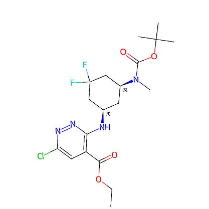 CCOC(=O)c1cc(Cl)nnc1N[C@@H]1C[C@H](N(C)C(=O)OC(C)(C)C)CC(F)(F)C1